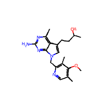 COc1c(C)cnc(Cn2cc(CCC(C)O)c3c(C)nc(N)nc32)c1C